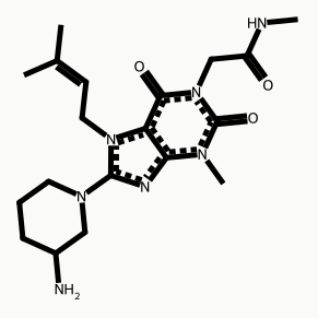 CNC(=O)Cn1c(=O)c2c(nc(N3CCCC(N)C3)n2CC=C(C)C)n(C)c1=O